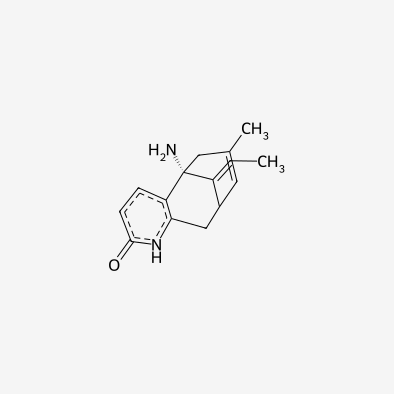 C/C=C1\C2C=C(C)C[C@]1(N)c1ccc(=O)[nH]c1C2